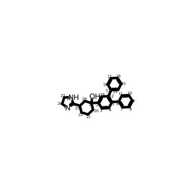 OC1(c2ccc(-c3ccccc3)c(-c3ccccc3)c2)CCCC(C2=NCCN2)C1